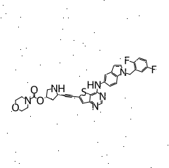 O=C(O[C@@H]1CN[C@@H](C#Cc2cc3ncnc(Nc4ccc5c(ccn5Cc5cc(F)ccc5F)c4)c3s2)C1)N1CCOCC1